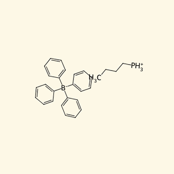 CCCC[PH3+].c1ccc([B-](c2ccccc2)(c2ccccc2)c2ccccc2)cc1